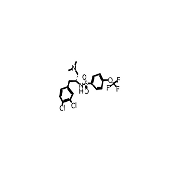 CN(C)C[C@@H](Cc1ccc(Cl)c(Cl)c1)NS(=O)(=O)c1ccc(OC(F)(F)F)cc1